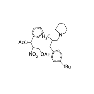 CC(=O)OCC(C(OC(C)=O)c1ccccc1)[N+](=O)[O-].CC(Cc1ccc(C(C)(C)C)cc1)CN1CCCCC1